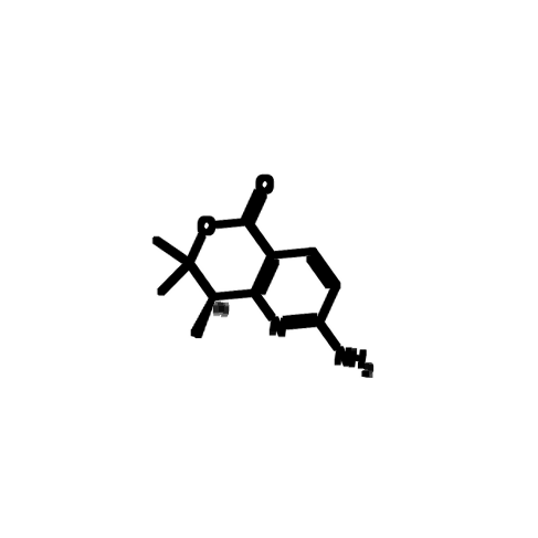 C[C@@H]1c2nc(N)ccc2C(=O)OC1(C)C